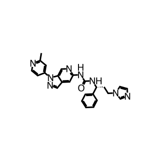 Cc1cc(-n2ncc3cc(NC(=O)N[C@H](CCn4ccnc4)c4ccccc4)ncc32)ccn1